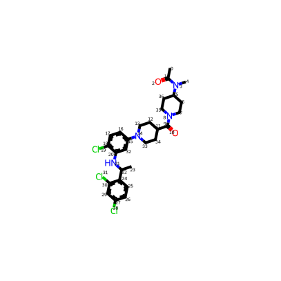 CC(=O)N(C)C1CCN(C(=O)C2CCN(c3ccc(Cl)c(NC(C)c4ccc(Cl)cc4Cl)c3)CC2)CC1